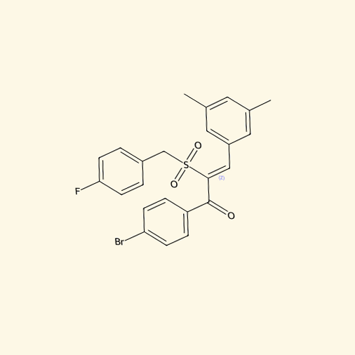 Cc1cc(C)cc(/C=C(/C(=O)c2ccc(Br)cc2)S(=O)(=O)Cc2ccc(F)cc2)c1